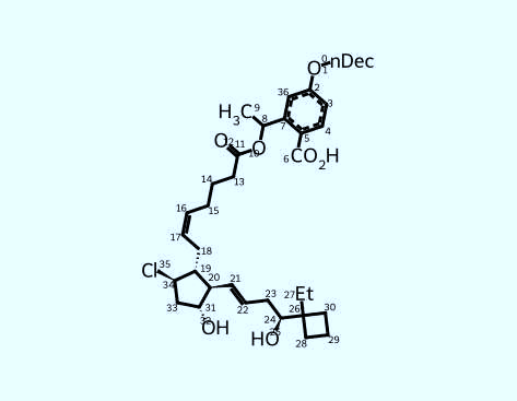 CCCCCCCCCCOc1ccc(C(=O)O)c(C(C)OC(=O)CCC/C=C\C[C@@H]2[C@@H](/C=C/C[C@H](O)C3(CC)CCC3)[C@H](O)C[C@H]2Cl)c1